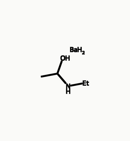 CCNC(C)O.[BaH2]